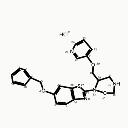 Cl.c1ccc(COc2ccc3nc(N4CCNCC4COc4cccnc4)sc3c2)cc1